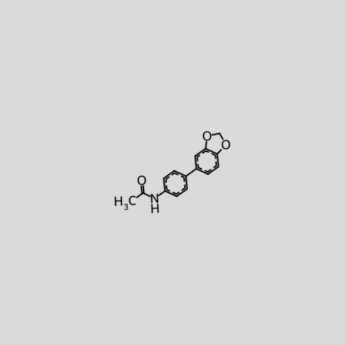 CC(=O)Nc1ccc(-c2ccc3c(c2)OCO3)cc1